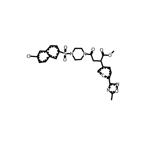 COC(=O)C(CC(=O)N1CCN(S(=O)(=O)c2ccc3cc(Cl)ccc3c2)CC1)c1ccc(-c2noc(C)n2)cc1